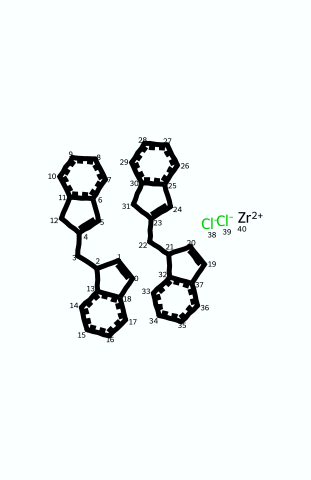 C1=CC(CC2=Cc3ccccc3C2)c2ccccc21.C1=CC(CC2=Cc3ccccc3C2)c2ccccc21.[Cl-].[Cl-].[Zr+2]